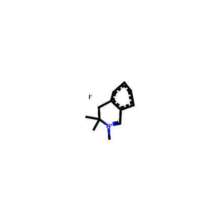 C[N+]1=Cc2ccccc2CC1(C)C.[I-]